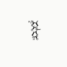 Cc1cn(N(C)c2cc[nH]c(=O)n2)c(=O)nc1N